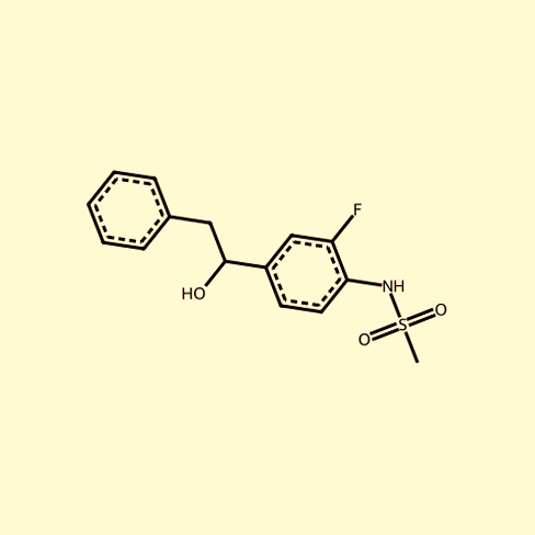 CS(=O)(=O)Nc1ccc(C(O)Cc2ccccc2)cc1F